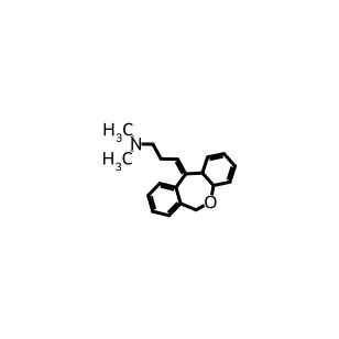 CN(C)CC/C=C1\c2ccccc2COC2C=CC=CC12